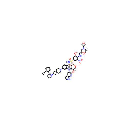 C[C@@H]1CO[C@@H]([C@H]2COc3cc(S(=O)(=O)NC(=O)c4ccc(N5CCC6(CC5)CC(N5CCC[C@H]5c5ccccc5C5CC5)C6)cc4N4c5cc6cc[nH]c6nc5O[C@@H]5COCC[C@@H]54)cc([N+](=O)[O-])c3N2)CN1C1COC1